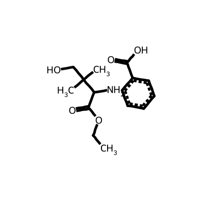 CCOC(=O)C(N)C(C)(C)CO.O=C(O)c1ccccc1